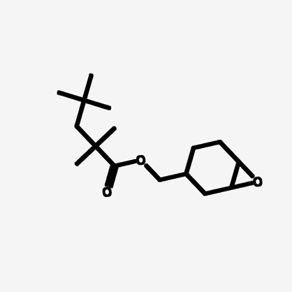 CC(C)(C)CC(C)(C)C(=O)OCC1CCC2OC2C1